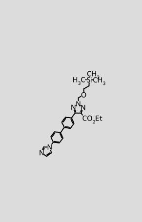 CCOC(=O)c1nn(COCC[Si](C)(C)C)nc1-c1ccc(-c2ccc(-n3ccnc3)cc2)cc1